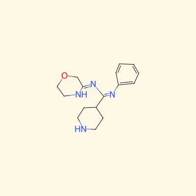 c1ccc(N=C(N=C2COCCN2)C2CCNCC2)cc1